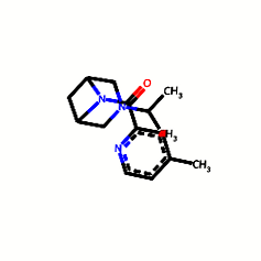 Cc1ccnc(C(=O)N2C3CC2CN(C(C)C)C3)c1